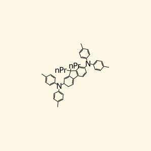 CCCC1(CCC)C2=CC(N(c3ccc(C)cc3)c3ccc(C)cc3)CC=C2c2ccc(N(c3ccc(C)cc3)c3ccc(C)cc3)cc21